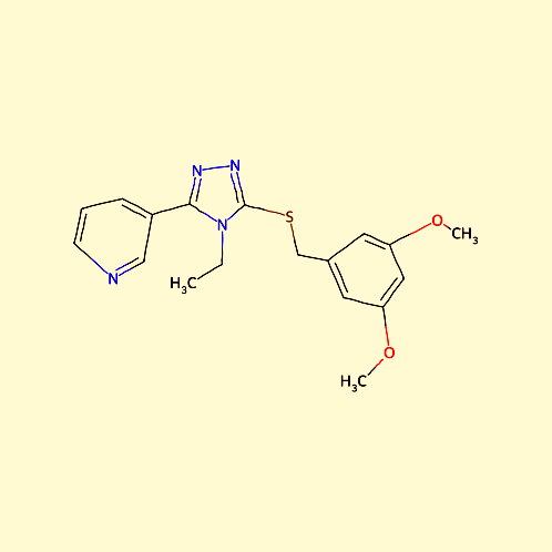 CCn1c(SCc2cc(OC)cc(OC)c2)nnc1-c1cccnc1